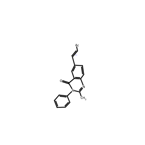 CC(=O)/C=C/c1ccc2nc(C)n(-c3ccccc3)c(=O)c2c1